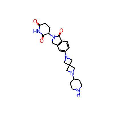 O=C1CCC(N2Cc3cc(N4CC5(C4)CN(C4CCNCC4)C5)ccc3C2=O)C(=O)N1